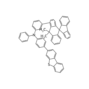 CC1(C)c2ccccc2C2(c3ccccc3-c3ccccc32)c2cccc(-c3cccc(N(c4ccccc4)c4ccc(-c5ccc6c(c5)sc5ccccc56)cc4)c3)c21